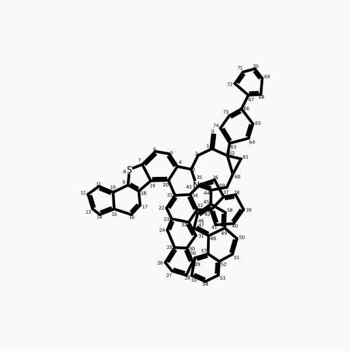 C=C1CC(c2ccc3sc4c5ccccc5ccc4c3c2-c2cc3cc4ccccc4cc3c3c2ccc2ccccc23)/N=C(/c2ccc3c(ccc4ccccc43)c2)CC2CC12c1ccc(-c2ccccc2)cc1